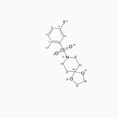 Cc1ccc(F)cc1S(=O)(=O)N1CCC2(CC1)OCCO2